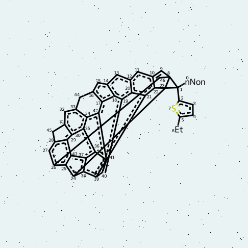 CCCCCCCCCC1(c2ccc(CC)s2)C23C=c4cc5cc6cc7c8c6c6c5c5c4C21c1c2c(cc4c9c%10c(cc(c%11c%10c%10c(c1c5c6c%10c8%11)c29)C7)C4)C3